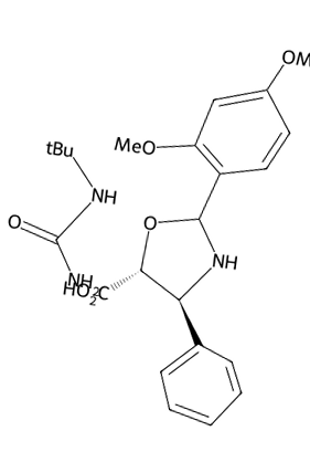 CC(C)(C)NC(N)=O.COc1ccc(C2N[C@@H](c3ccccc3)[C@H](C(=O)O)O2)c(OC)c1